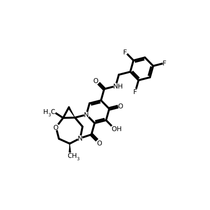 C[C@H]1COC2(C)C[C@@]23CN1C(=O)c1c(O)c(=O)c(C(=O)NCc2c(F)cc(F)cc2F)cn13